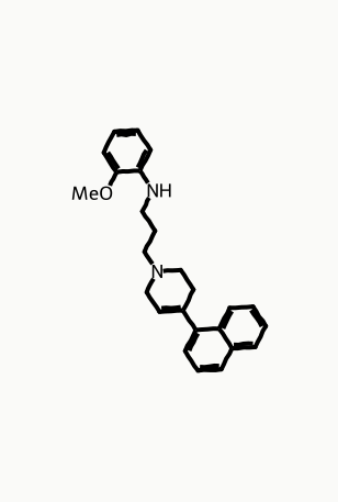 COc1ccccc1NCCCN1CC=C(c2cccc3ccccc23)CC1